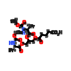 CC(C)[C@H](NC(=O)OC(C)(C)C)C(=O)OCC(COC(=O)CCCC(=O)O)OC(=O)[C@@H](NC(=O)OC(C)(C)C)C(C)C